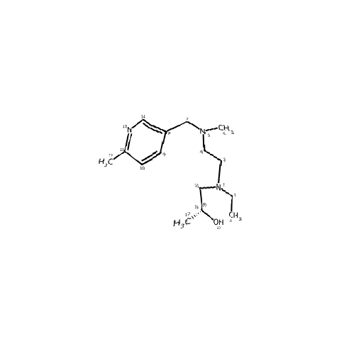 CCN(CCN(C)Cc1ccc(C)nc1)C[C@@H](C)O